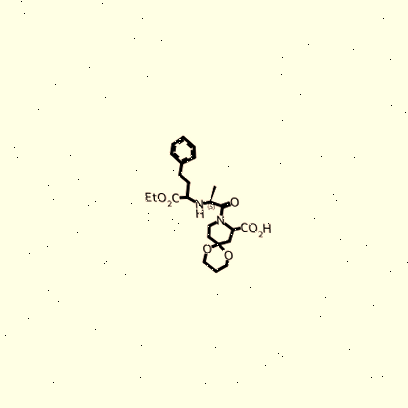 CCOC(=O)C(CCc1ccccc1)N[C@@H](C)C(=O)N1CCC2(CC1C(=O)O)OCCCO2